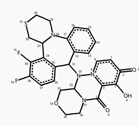 O=C1c2c(O)c(=O)ccn2N(C2c3ccccc3N3CCSCC3c3c2ccc(F)c3F)C2COCCN12